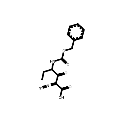 CCC(NC(=O)OCc1ccccc1)C(=O)C(=[N+]=[N-])C(=O)O